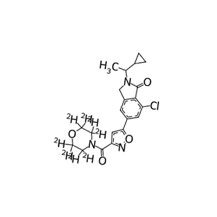 [2H]C1([2H])OC([2H])([2H])C([2H])([2H])N(C(=O)c2cc(-c3cc(Cl)c4c(c3)CN(C(C)C3CC3)C4=O)on2)C1([2H])[2H]